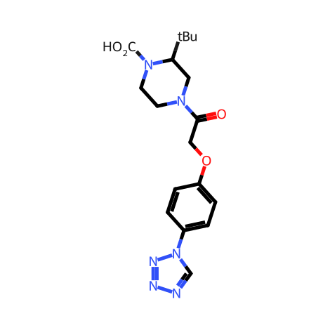 CC(C)(C)C1CN(C(=O)COc2ccc(-n3cnnn3)cc2)CCN1C(=O)O